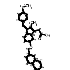 CSc1ccc(C=C2C(C)=C(CC(=O)O)c3cc(OCc4ccc5ccccc5c4)ccc32)cc1